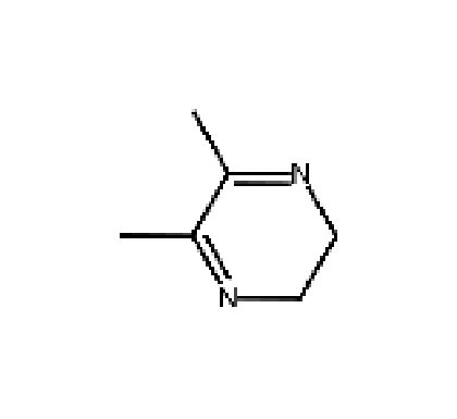 CC1=NCCN=C1C